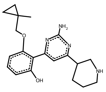 CC1(COc2cccc(O)c2-c2cc(C3CCCNC3)nc(N)n2)CC1